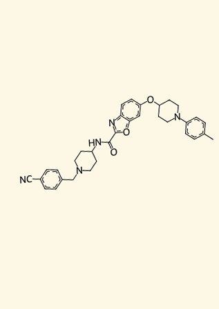 Cc1ccc(N2CCC(Oc3ccc4nc(C(=O)NC5CCN(Cc6ccc(C#N)cc6)CC5)oc4c3)CC2)cc1